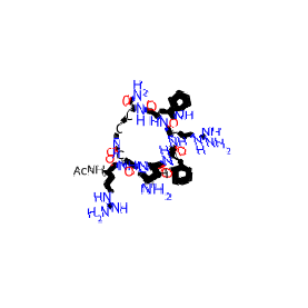 CC(=O)N[C@@H](CCCNC(=N)N)C(=O)N[C@H]1CC(=O)NCCCC[C@@H](C(N)=O)NC(=O)[C@H](Cc2c[nH]c3ccccc23)NC(=O)[C@H](CCCNC(=N)N)NC(=O)[C@@H](Cc2ccccc2)NC(=O)[C@@H]2C[C@@H](N)CN2C1=O